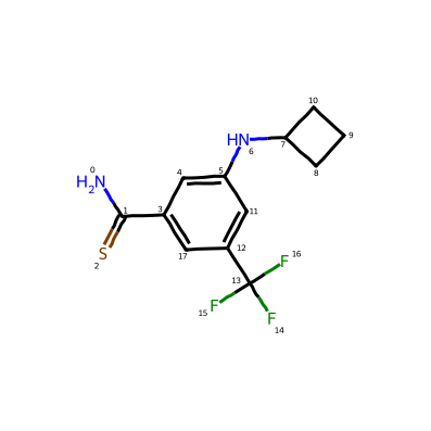 NC(=S)c1cc(NC2CCC2)cc(C(F)(F)F)c1